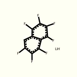 Fc1[c]c2c(F)c(F)c(F)c(F)c2c(F)c1F.[LiH]